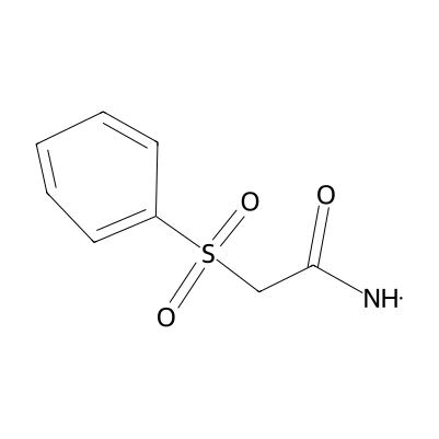 [NH]C(=O)CS(=O)(=O)c1ccccc1